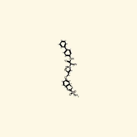 CC(C)C(C(=O)Nc1ccc(-c2ccccc2)cc1)n1cc(COc2ccc3nc(S(N)(=O)=O)sc3c2)nn1